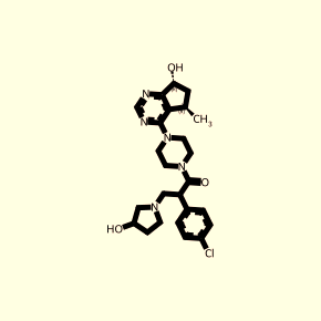 C[C@@H]1C[C@@H](O)c2ncnc(N3CCN(C(=O)C(CN4CCC(O)C4)c4ccc(Cl)cc4)CC3)c21